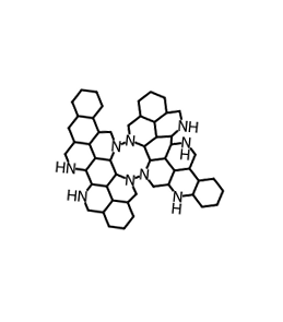 C1CCC2C(C1)CC1CNC3C4NCC5CCCC6CN7C(C4C56)C4C3C1C2CN4N1CC2CCCC3CNC4C5NCC6C8CCCCC8NC8CN7C(C5C86)C1C4C32